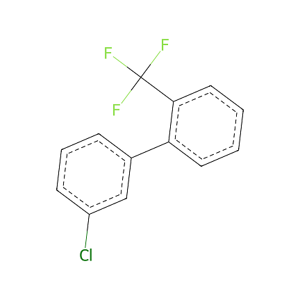 FC(F)(F)c1ccccc1-c1cccc(Cl)c1